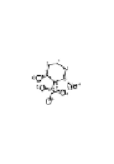 O=C1CCCCC1S(=O)(=O)[O-].[Na+]